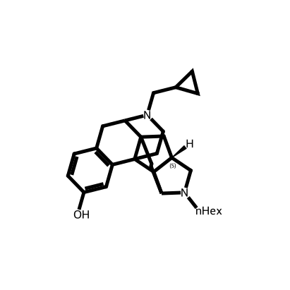 CCCCCCN1C[C@H]2CC34CCC1C2C31CCN(CC2CC2)C4Cc2ccc(O)cc21